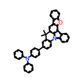 CC1(C)c2cc(-c3ccc(N(c4ccccc4)c4ccccc4)cc3)ccc2-n2c3ccccc3c3c4oc5ccccc5c4cc1c32